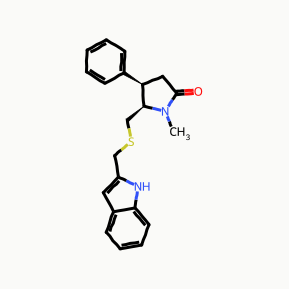 CN1C(=O)C[C@H](c2ccccc2)[C@@H]1CSCc1cc2ccccc2[nH]1